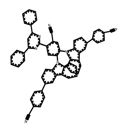 N#Cc1ccc(-c2ccc3c(c2)c2ccccc2n3-c2cc(C#N)c(-c3nc(-c4ccccc4)cc(-c4ccccc4)n3)cc2-n2c3ccccc3c3cc(-c4ccc(C#N)cc4)ccc32)cc1